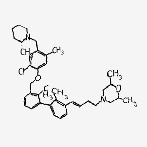 Cc1cc(OCc2cccc(-c3cccc(/C=C/CCN4CC(C)OC(C)C4)c3C)c2C)c(Cl)cc1CN1CCCC[C@H]1C